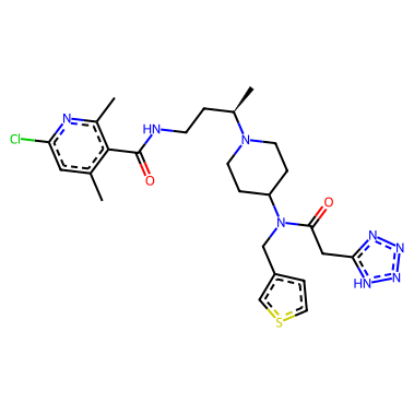 Cc1cc(Cl)nc(C)c1C(=O)NCC[C@@H](C)N1CCC(N(Cc2ccsc2)C(=O)Cc2nnn[nH]2)CC1